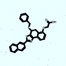 O=C(O)COc1cccc2c1CC(SCc1ccccc1)c1sc(-c3ccc4ccccc4c3)nc1-2